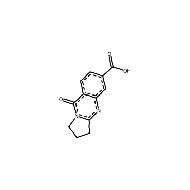 O=C(O)c1ccc2c(=O)n3c(nc2c1)CCC3